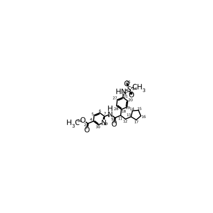 COC(=O)c1ccc(NC(=O)C(CC2CCCC2)c2ccc(NS(C)(=O)=O)cc2)nc1